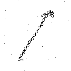 [N-]=[N+]=NC(OCCOCCOCCOCCOCCOCCOCCOCCOCCOCCOCCOCCO)C(=O)ON1C(=O)CCC1=O